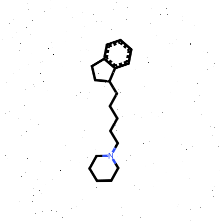 c1ccc2c(c1)CCC2CCCCCN1CCCCC1